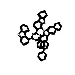 c1ccc(-c2cccc(-c3nc(-c4ccc5c(sc6ccccc65)c4-n4c5cc6ccccc6cc5c5cc6ccccc6cc54)nc(-c4cccc5oc6ccccc6c45)n3)c2)cc1